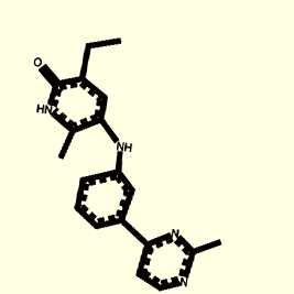 CCc1cc(Nc2cccc(-c3ccnc(C)n3)c2)c(C)[nH]c1=O